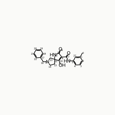 Cc1cccc(NC(=O)C2=C(O)C3(CCN(Cc4ccccc4)C3)NC2=O)c1